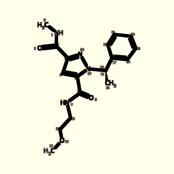 CNC(=O)c1cc(C(=O)NCCOC)n([C@@H](C)c2ccccc2)n1